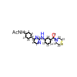 CC(=O)Nc1ccc(-c2ccnc(Nc3cccc(C(=O)N4CCSCC4)c3)n2)cc1